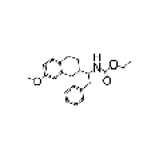 CCOC(=O)NC(Cc1ccccc1)C1CCc2ccc(OC)cc2C1